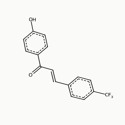 O=C(C=Cc1ccc(C(F)(F)F)cc1)c1ccc(O)cc1